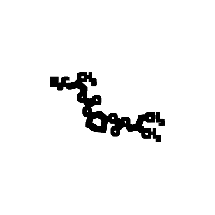 CCC(C)COC(=O)OC1CCCC(OC(=O)OCC(C)CC)C1